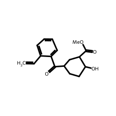 C=Cc1ccccc1C(=O)C1CCC(O)C(C(=O)OC)C1